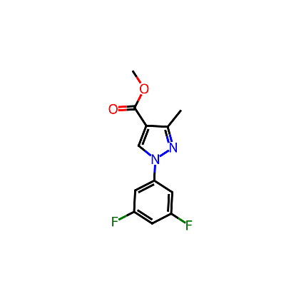 COC(=O)c1cn(-c2cc(F)cc(F)c2)nc1C